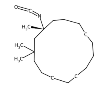 CC1(C)CCCCCCCCCCCC[C@@](C)(N=C=O)C1